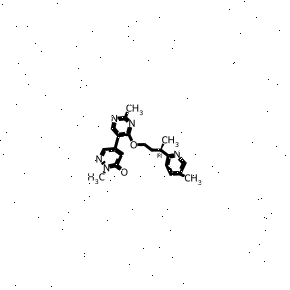 Cc1ccc([C@H](C)CCOc2nc(C)ncc2-c2cnn(C)c(=O)c2)nc1